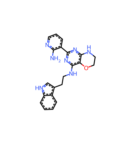 Nc1ncccc1-c1nc2c(c(NCCc3c[nH]c4ccccc34)n1)OCCN2